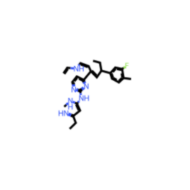 C=CN/C=C\C(=C/C(CC)c1ccc(C)c(F)c1)c1ccnc(N/C(=C/C(=N)CC)NC)n1